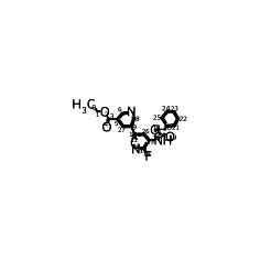 CCOC(=O)c1cncc(-c2cnc(F)c(NS(=O)(=O)c3ccccc3)c2)c1